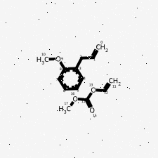 C=CCc1ccccc1OC.C=COC(=O)OC